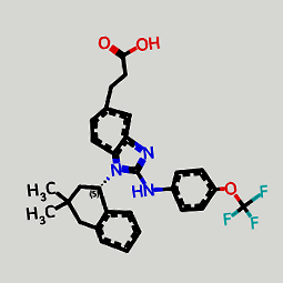 CC1(C)Cc2ccccc2[C@@H](n2c(Nc3ccc(OC(F)(F)F)cc3)nc3cc(CCC(=O)O)ccc32)C1